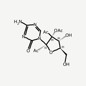 CC(=O)O[C@]1(C(C)=O)[C@H](O)[C@@H](CO)O[C@@]1(C(C)=O)n1cnc(N)nc1=O